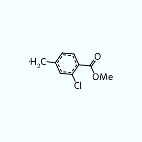 [CH2]c1ccc(C(=O)OC)c(Cl)c1